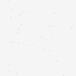 CSCN1CCC(COC2CCN(C[C@@H](C)S)CC2)CC1